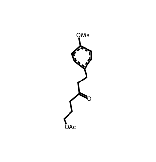 COc1ccc(CCC(=O)CCCOC(C)=O)cc1